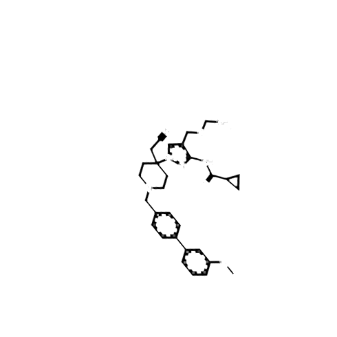 COc1cccc(-c2ccc(CN3CCC(CC#N)(n4cc(COCN)c(NC(=O)C5CC5)n4)CC3)cc2)c1